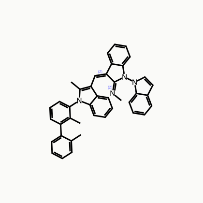 C/N=C1/C(=C\c2c(C)n(-c3cccc(-c4ccccc4C)c3C)c3ccccc23)c2ccccc2N1n1ccc2ccccc21